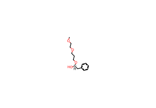 COCCOCCCO[SiH](O)Cc1ccccc1